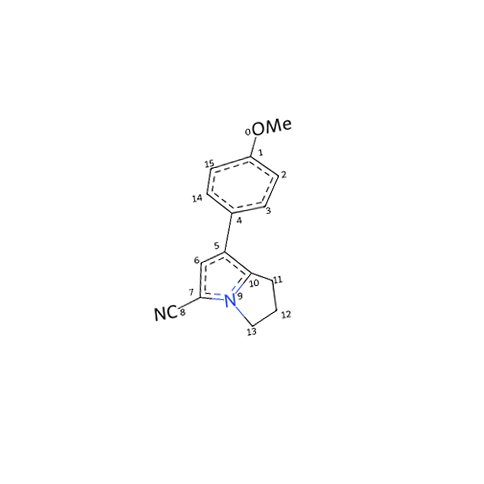 COc1ccc(-c2cc(C#N)n3c2CCC3)cc1